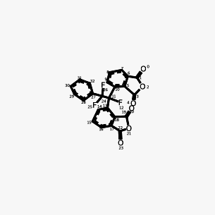 O=C1OC(=O)c2c1cccc2C(F)(c1cccc2c1C(=O)OC2=O)C(F)(F)c1ccccc1